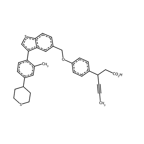 CC#CC(CC(=O)O)c1ccc(OCc2ccc3scc(-c4ccc(C5CCSCC5)cc4C)c3c2)cc1